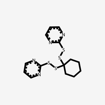 c1cnc(SSC2(SSc3ncccn3)CCCCC2)nc1